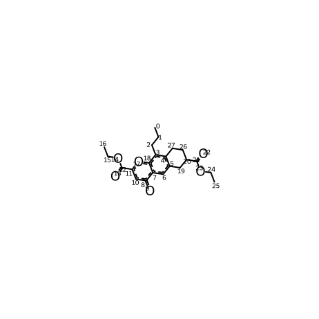 CCCc1c2c(cc3c(=O)cc(C(=O)OCC)oc13)CC(C(=O)OCC)CC2